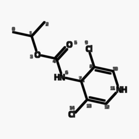 CC(C)OC(=O)N[C]1C(Cl)=CNC=C1Cl